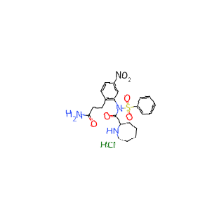 Cl.NC(=O)CCc1ccc([N+](=O)[O-])cc1N(C(=O)C1CCCCCN1)S(=O)(=O)c1ccccc1